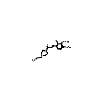 C=CCN1CCN(C(=O)/C=C/c2ccc(OC)c(OC)c2Cl)CC1